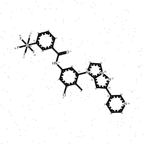 Cc1c(Cl)cc(NC(=O)c2cccc(S(F)(F)(F)(F)F)c2)cc1-n1ccn2nc(-c3cccnc3)cc12